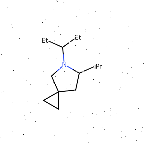 CCC(CC)N1CC2(CC2)CC1C(C)C